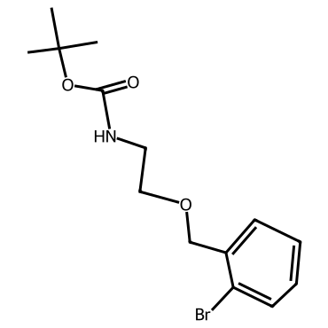 CC(C)(C)OC(=O)NCCOCc1ccccc1Br